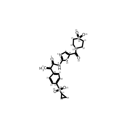 C=C(C(=O)Nc1ncc(C(=O)N2CCS(=O)(=O)CC2)s1)c1ccc(S(=O)(=O)C2CC2)cc1